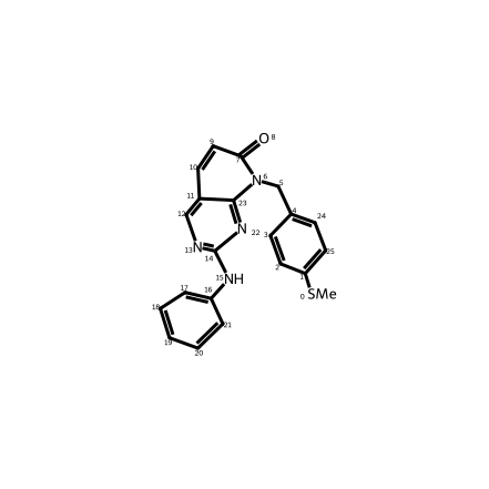 CSc1ccc(Cn2c(=O)ccc3cnc(Nc4ccccc4)nc32)cc1